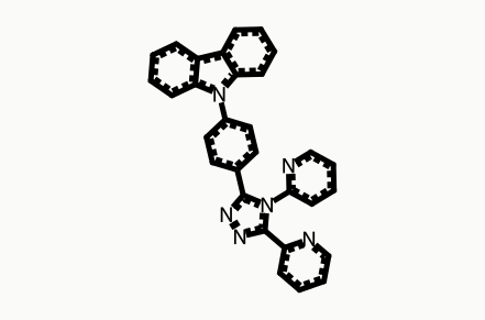 c1ccc(-c2nnc(-c3ccc(-n4c5ccccc5c5ccccc54)cc3)n2-c2ccccn2)nc1